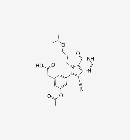 CC(=O)Oc1cc(CC(=O)O)cc(-c2c(C#N)c3nc[nH]c(=O)c3n2CCCOC(C)C)c1